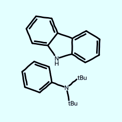 CC(C)(C)N(c1ccccc1)C(C)(C)C.c1ccc2c(c1)[nH]c1ccccc12